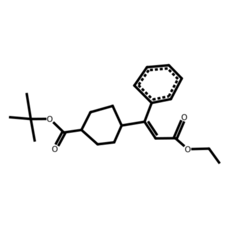 CCOC(=O)/C=C(\c1ccccc1)C1CCC(C(=O)OC(C)(C)C)CC1